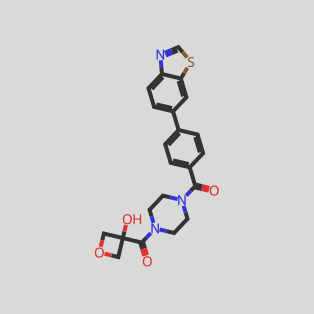 O=C(c1ccc(-c2ccc3ncsc3c2)cc1)N1CCN(C(=O)C2(O)COC2)CC1